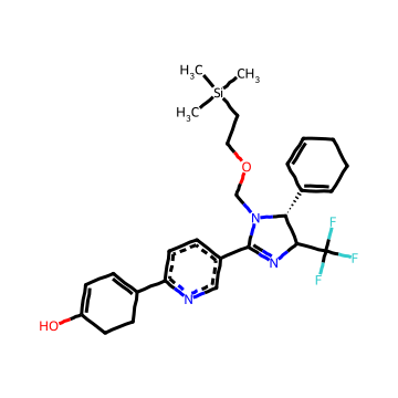 C[Si](C)(C)CCOCN1C(c2ccc(C3=CC=C(O)CC3)nc2)=NC(C(F)(F)F)[C@H]1C1=CCCC=C1